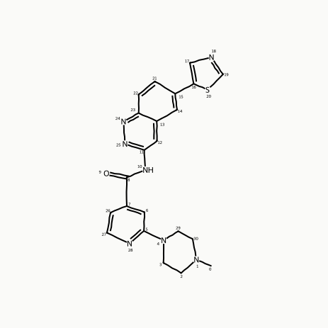 CN1CCN(c2cc(C(=O)Nc3cc4cc(-c5cncs5)ccc4nn3)ccn2)CC1